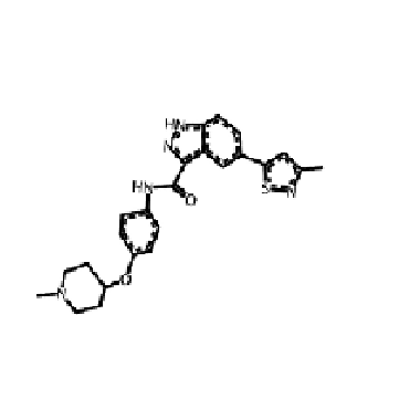 Cc1cc(-c2ccc3[nH]nc(C(=O)Nc4ccc(OC5CCN(C)CC5)cc4)c3c2)sn1